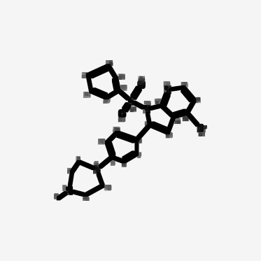 CN1CCN(c2ccc(-c3cc4c(Br)ccnc4n3S(=O)(=O)c3ccccc3)cc2)CC1